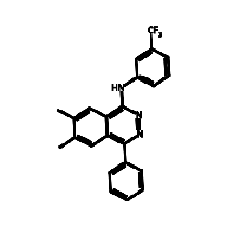 Cc1cc2c(Nc3cccc(C(F)(F)F)c3)nnc(-c3ccccc3)c2cc1C